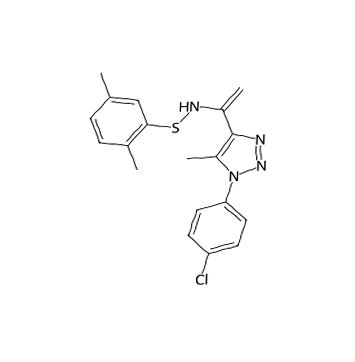 C=C(NSc1cc(C)ccc1C)c1nnn(-c2ccc(Cl)cc2)c1C